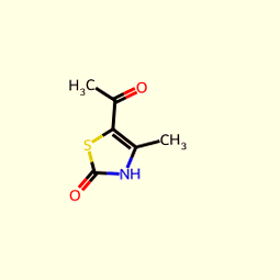 CC(=O)c1sc(=O)[nH]c1C